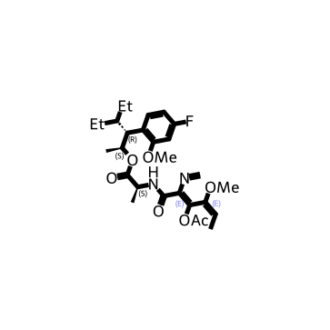 C=N/C(C(=O)N[C@@H](C)C(=O)O[C@@H](C)[C@@H](c1ccc(F)cc1OC)C(CC)CC)=C(OC(C)=O)\C(=C/C)OC